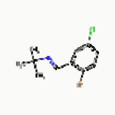 CC(C)(C)N=Cc1cc(Cl)ccc1Br